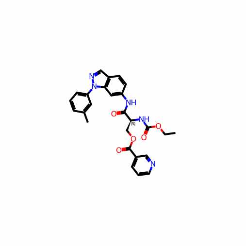 CCOC(=O)N[C@@H](COC(=O)c1cccnc1)C(=O)Nc1ccc2cnn(-c3cccc(C)c3)c2c1